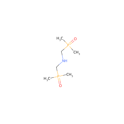 CP(C)(=O)CNCP(C)(C)=O